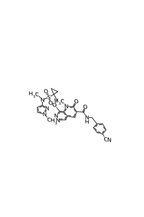 CN(c1ccn(C)n1)S(=O)(=O)C1(COc2nncc3cc(C(=O)NCc4ccc(C#N)cc4)c(=O)n(C)c23)CC1